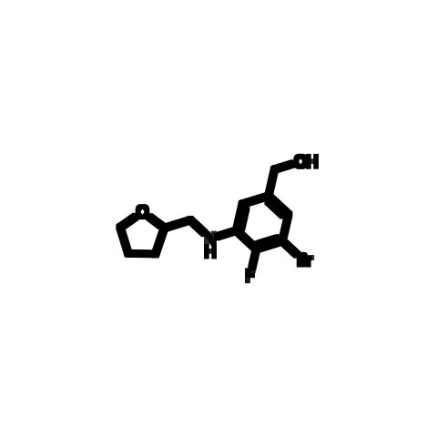 OCc1cc(Br)c(F)c(NCC2CCCO2)c1